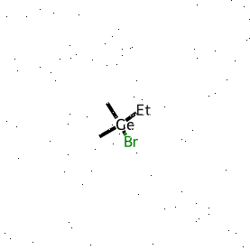 C[CH2][Ge]([CH3])([CH3])[Br]